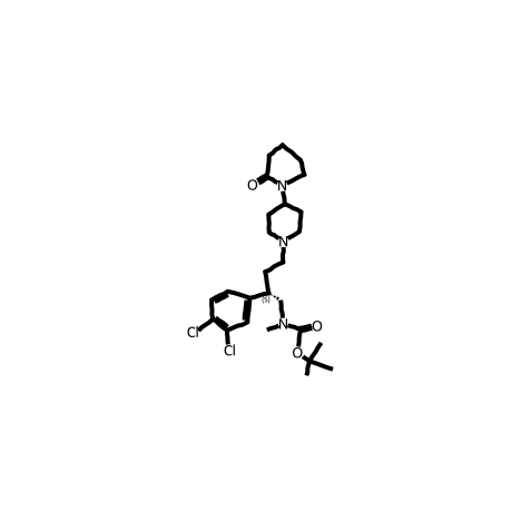 CN(C[C@@H](CCN1CCC(N2CCCCC2=O)CC1)c1ccc(Cl)c(Cl)c1)C(=O)OC(C)(C)C